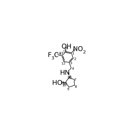 O=[N+]([O-])c1cc(CN[C@@H]2CCC[C@H]2O)cc(C(F)(F)F)c1O